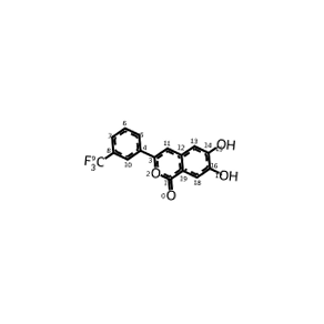 O=c1oc(-c2cccc(C(F)(F)F)c2)cc2cc(O)c(O)cc12